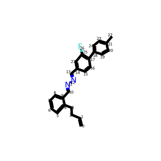 C=CCCc1ccccc1C=NN=Cc1ccc(-c2ccc(C)cc2)c(F)c1